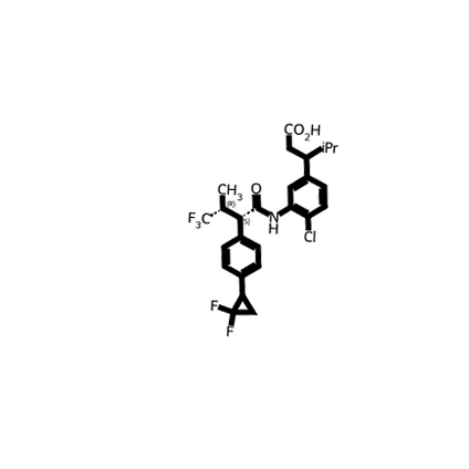 CC(C)C(CC(=O)O)c1ccc(Cl)c(NC(=O)[C@H](c2ccc(C3CC3(F)F)cc2)[C@@H](C)C(F)(F)F)c1